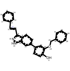 Oc1ccc(-c2ccc3c(/C=C/c4ccccc4)n[nH]c3c2)cc1OCc1ccccc1